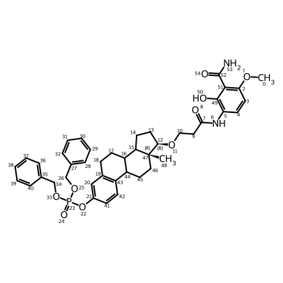 COc1ccc(NC(=O)CCO[C@@H]2CCC3C4CCc5cc(OP(=O)(OCc6ccccc6)OCc6ccccc6)ccc5C4CC[C@]32C)c(O)c1C(N)=O